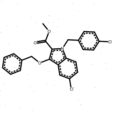 COC(=O)c1c(OCc2ccccc2)c2cc(Cl)ccc2n1Cc1ccc(Cl)cc1